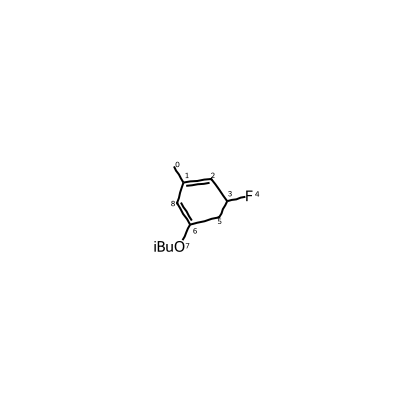 CC1=CC(F)CC(OCC(C)C)=C1